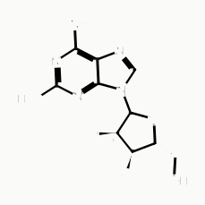 Cc1nc(N)c2ncn(C3O[C@H](CO)[C@@H](O)[C@H]3O)c2n1